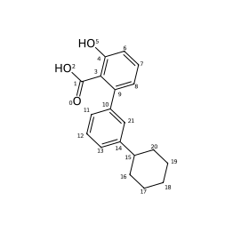 O=C(O)c1c(O)cccc1-c1cccc(C2CCCCC2)c1